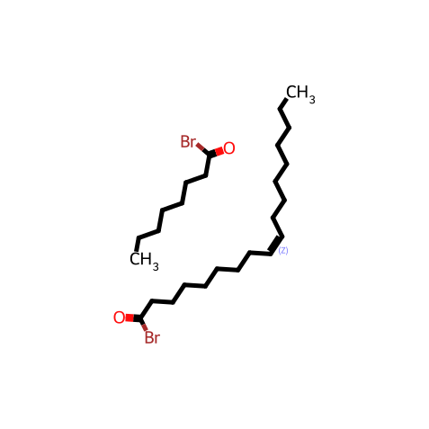 CCCCCCCC(=O)Br.CCCCCCCC/C=C\CCCCCCCC(=O)Br